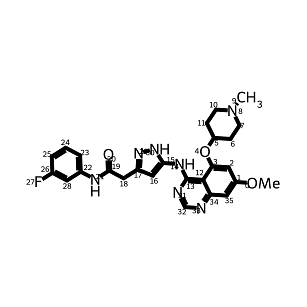 COc1cc(OC2CCN(C)CC2)c2c(Nc3cc(CC(=O)Nc4cccc(F)c4)n[nH]3)ncnc2c1